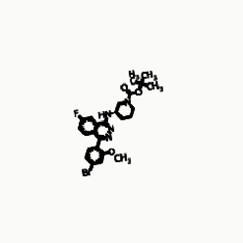 COc1cc(Br)ccc1-c1nnc(N[C@@H]2CCCN(C(=O)OC(C)(C)C)C2)c2cc(F)ccc12